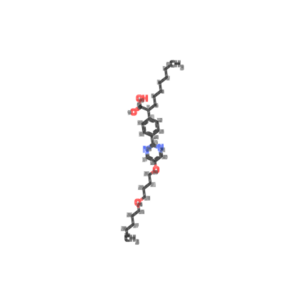 CCCCCCCC(C(=O)O)c1ccc(-c2ncc(OCCCCOCCCCC)cn2)cc1